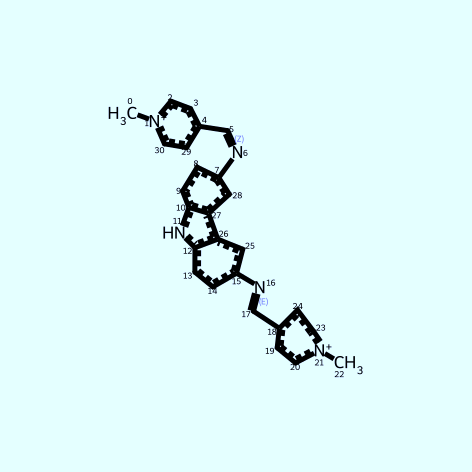 C[n+]1ccc(/C=N\c2ccc3[nH]c4ccc(/N=C/c5cc[n+](C)cc5)cc4c3c2)cc1